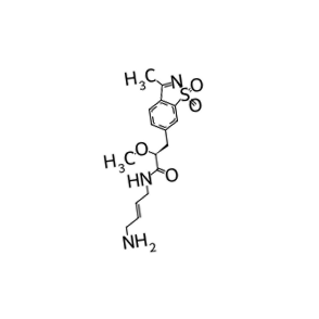 CO[C@@H](Cc1ccc2c(c1)S(=O)(=O)N=C2C)C(=O)NC/C=C/CN